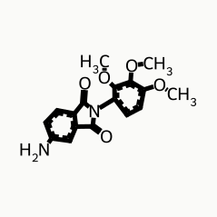 COc1ccc(N2C(=O)c3ccc(N)cc3C2=O)c(OC)c1OC